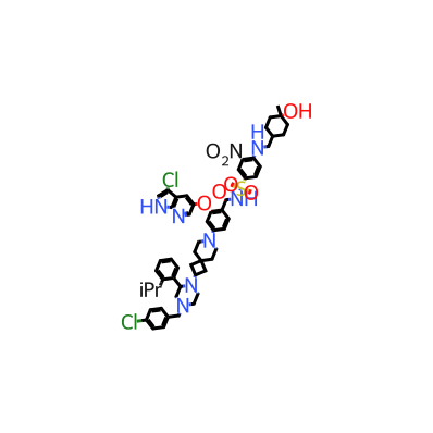 CC(C)c1ccccc1C1CN(Cc2ccc(Cl)cc2)CCN1C1CC2(CCN(c3ccc(C(=O)NS(=O)(=O)c4ccc(NCC5CCC(C)(O)CC5)c([N+](=O)[O-])c4)c(Oc4cnc5[nH]cc(Cl)c5c4)c3)CC2)C1